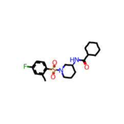 Cc1cc(F)ccc1S(=O)(=O)N1CCC[C@H](NC(=O)C2CCCCC2)C1